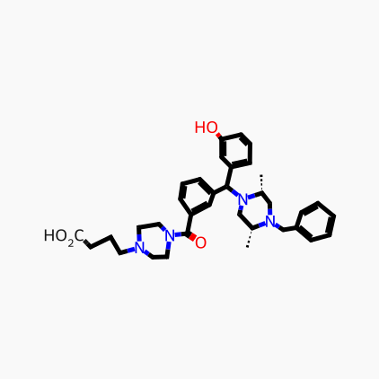 C[C@@H]1CN(C(c2cccc(O)c2)c2cccc(C(=O)N3CCN(CCCC(=O)O)CC3)c2)[C@H](C)CN1Cc1ccccc1